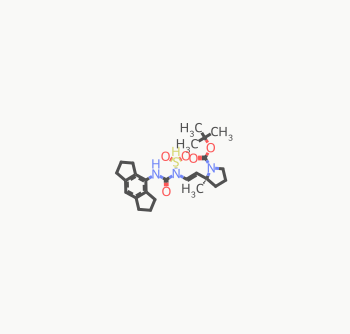 CC(C)(C)OC(=O)N1CCC[C@@]1(C)/C=C/N(C(=O)Nc1c2c(cc3c1CCC3)CCC2)[SH](=O)=O